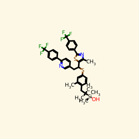 Cc1cc(SC(Cc2ccc(-c3ccc(C(F)(F)F)cc3)nc2)c2sc(-c3ccc(C(F)(F)F)cc3)nc2C)ccc1CC(C)(C)[Si](C)(C)O